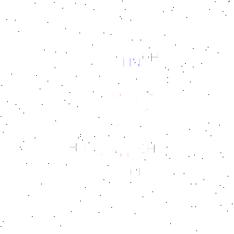 CCCC(CCC)(C(=O)OCC)c1ccc(OC(CCNC)c2ccccc2)cc1